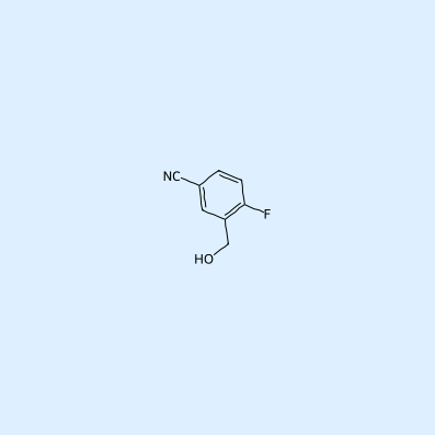 N#Cc1ccc(F)c(CO)c1